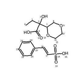 CCC(O)(C(=O)O)C1COCCO1.O=S(=O)(O)C=Cc1ccccc1